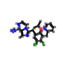 Cc1nc(Cc2cc(Cl)c(F)c(Cc3ccccn3)c2OC(C)C)n2ccnc(N)c12